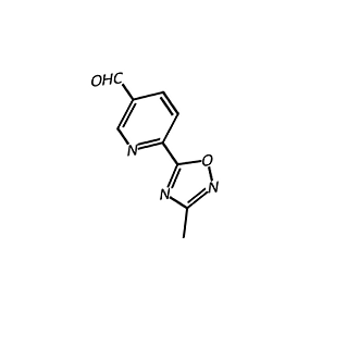 Cc1noc(-c2ccc(C=O)cn2)n1